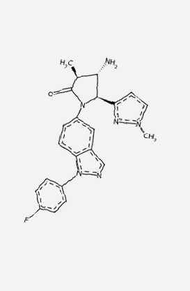 C[C@@H]1C(=O)N(c2ccc3c(cnn3-c3ccc(F)cc3)c2)[C@H](c2ccn(C)n2)[C@H]1N